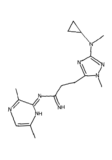 Cc1cnc(C)/c(=N/C(=N)CCc2nc(N(C)C3CC3)nn2C)[nH]1